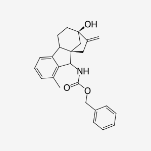 C=C1C[C@]23C[C@]1(O)CCC2c1cccc(C)c1C3NC(=O)OCc1ccccc1